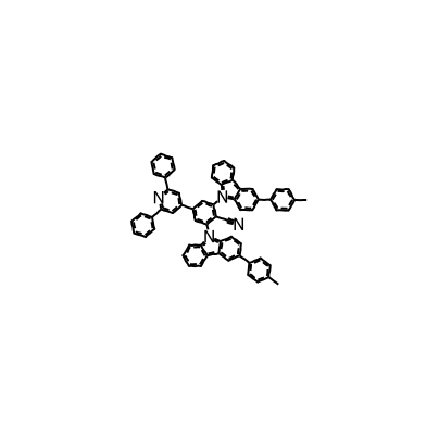 Cc1ccc(-c2ccc3c(c2)c2ccccc2n3-c2cc(-c3cc(-c4ccccc4)nc(-c4ccccc4)c3)cc(-n3c4ccccc4c4cc(-c5ccc(C)cc5)ccc43)c2C#N)cc1